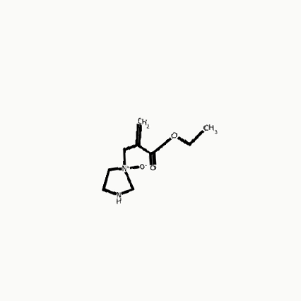 C=C(C[N+]1([O-])CCNC1)C(=O)OCC